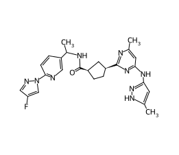 Cc1cc(Nc2cc(C)[nH]n2)nc([C@H]2CC[C@@H](C(=O)NC(C)c3ccc(-n4cc(F)cn4)nc3)C2)n1